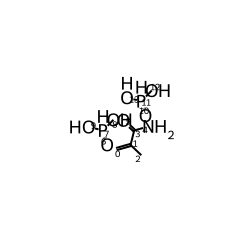 C=C(C)C(N)=O.O=[PH](O)O.O=[PH](O)O